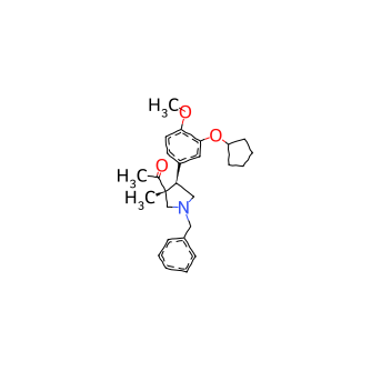 COc1ccc([C@H]2CN(Cc3ccccc3)C[C@]2(C)C(C)=O)cc1OC1CCCC1